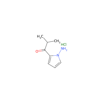 CC(C)C(=O)c1cccn1N.Cl